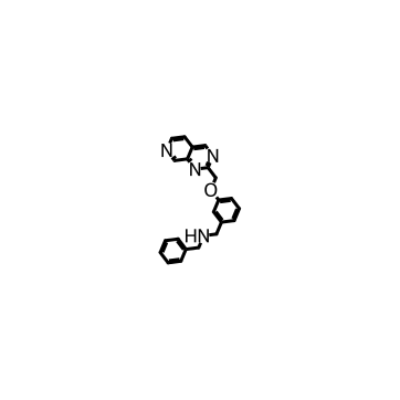 c1ccc(CNCc2cccc(OCc3ncc4ccncc4n3)c2)cc1